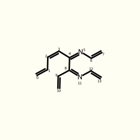 C=C\C=C/C(=N/C=C)C(/C=C)=N\C=C